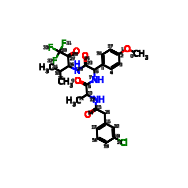 COc1ccc(C(NC(=O)C(C)NC(=O)Cc2cccc(Cl)c2)C(=O)NC(C(=O)C(F)(F)F)C(C)C)cc1